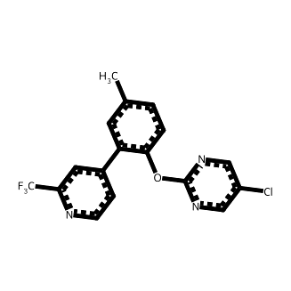 Cc1ccc(Oc2ncc(Cl)cn2)c(-c2ccnc(C(F)(F)F)c2)c1